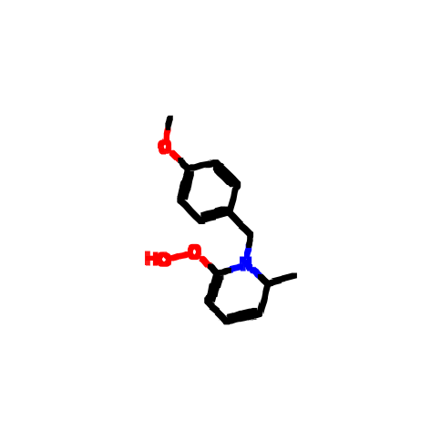 COc1ccc(CN2C(OO)=CC=CC2C)cc1